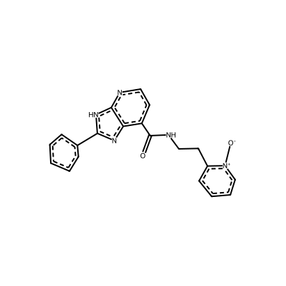 O=C(NCCc1cccc[n+]1[O-])c1ccnc2[nH]c(-c3ccccc3)nc12